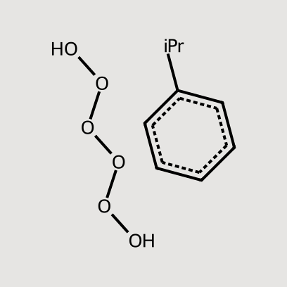 CC(C)c1ccccc1.OOOOOO